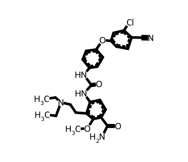 CCN(CC)CCc1c(NC(=O)Nc2ccc(Oc3ccc(C#N)c(Cl)c3)cc2)ccc(C(N)=O)c1OC